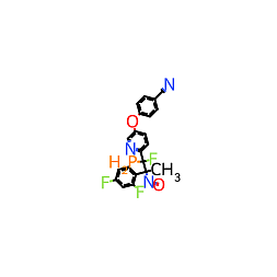 CC(N=O)(c1ccc(F)cc1F)C(F)(P)c1ccc(Oc2ccc(C#N)cc2)cn1